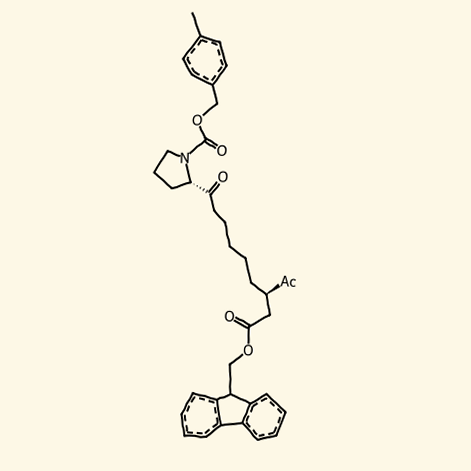 CC(=O)[C@H](CCCCCC(=O)[C@@H]1CCCN1C(=O)OCc1ccc(C)cc1)CC(=O)OCC1c2ccccc2-c2ccccc21